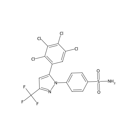 NS(=O)(=O)c1ccc(-n2nc(C(F)(F)F)cc2-c2cc(Cl)c(Cl)c(Cl)c2Cl)cc1